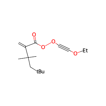 C=C(C(=O)OOC#COCC)C(C)(C)CC(C)(C)C